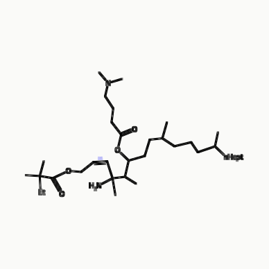 CCCCCCCC(C)CCCC(C)CCC(OC(=O)CCCN(C)C)C(C)C(C)(N)/C=C\COC(=O)C(C)(C)CC